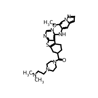 COc1cn2nccc2cc1Nc1ncnc2sc3c(c12)CCC(C(=O)N1CCN(CCN(C)C)CC1)C3